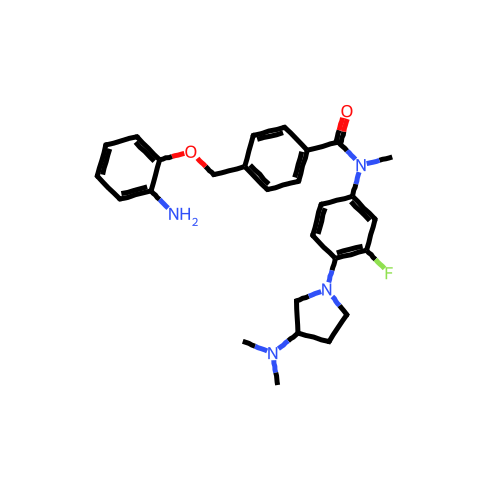 CN(C(=O)c1ccc(COc2ccccc2N)cc1)c1ccc(N2CCC(N(C)C)C2)c(F)c1